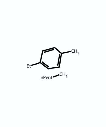 CCCCCC.CCc1ccc(C)cc1